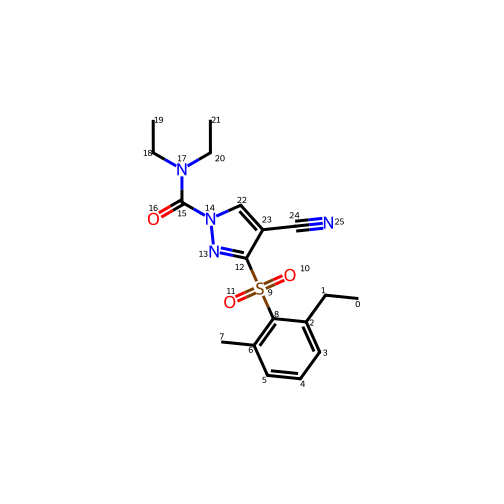 CCc1cccc(C)c1S(=O)(=O)c1nn(C(=O)N(CC)CC)cc1C#N